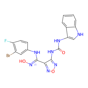 O=C(Nc1nonc1/C(=N/O)Nc1ccc(F)c(Br)c1)Nc1c[nH]c2ccccc12